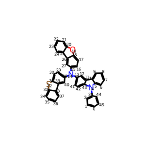 c1ccc(-n2c3ccccc3c3cc(N(c4ccc5oc6ccccc6c5c4)c4ccc5sc6ccccc6c5c4)ccc32)cc1